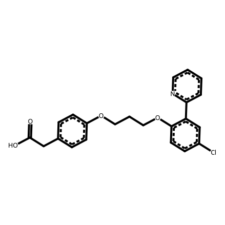 O=C(O)Cc1ccc(OCCCOc2ccc(Cl)cc2-c2ccccn2)cc1